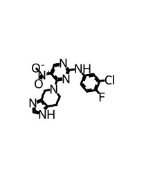 O=[N+]([O-])c1cnc(Nc2ccc(F)c(Cl)c2)nc1N1CCc2[nH]cnc2C1